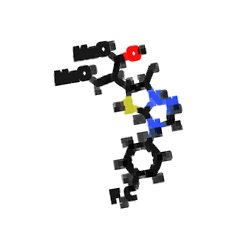 CO/C=C(\C(=O)OC)C1=C(C)N2N=CN(c3ccc(C(F)(F)F)cc3)C2S1